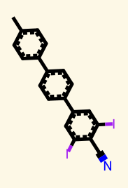 Cc1ccc(-c2ccc(-c3cc(I)c(C#N)c(I)c3)cc2)cc1